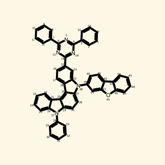 c1ccc(-c2nc(-c3ccccc3)nc(-c3ccc4c5c6c7ccccc7n(-c7ccccc7)c6ccc5n(-c5ccc6c(c5)oc5ccccc56)c4c3)n2)cc1